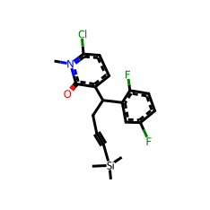 Cn1c(Cl)ccc(C(CC#C[Si](C)(C)C)c2cc(F)ccc2F)c1=O